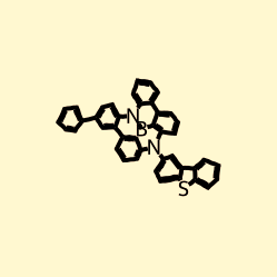 c1ccc(-c2ccc3c(c2)-c2cccc4c2B2c5c(cccc5N4c4ccc5sc6ccccc6c5c4)-c4ccccc4N23)cc1